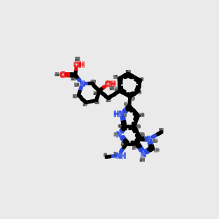 CNc1nc2[nH]c(-c3ccccc3CC3(O)CCCN(C(=O)O)C3)cc2c2c1ncn2C